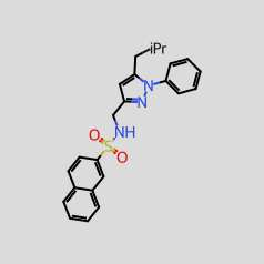 CC(C)Cc1cc(CNS(=O)(=O)c2ccc3ccccc3c2)nn1-c1ccccc1